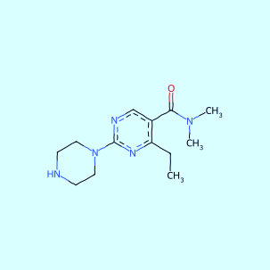 CCc1nc(N2CCNCC2)ncc1C(=O)N(C)C